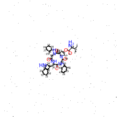 CC(C)[C@H](N)C(=O)O[C@@H]1C[C@@H]2C(=O)N[C@@H](Cc3ccccc3)C(=O)N[C@H](Cc3c[nH]c4ccccc34)C(=O)N[C@@H](Cc3ccccc3)C(=O)N2C1